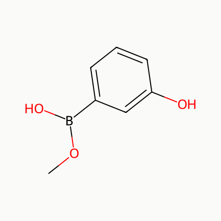 COB(O)c1cccc(O)c1